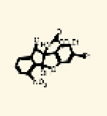 CCOC(=O)C(=O)NC12C(=O)c3cccc([N+](=O)[O-])c3C1(O)Oc1cc(C(C)C)ccc12